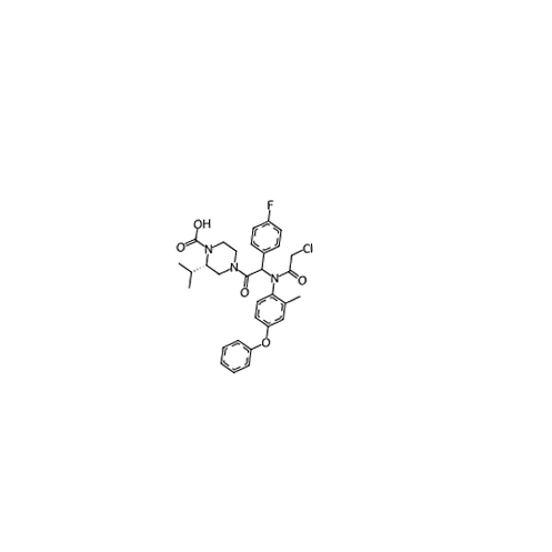 Cc1cc(Oc2ccccc2)ccc1N(C(=O)CCl)C(C(=O)N1CCN(C(=O)O)[C@@H](C(C)C)C1)c1ccc(F)cc1